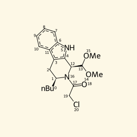 CCCC[C@H]1Cc2c([nH]c3ccccc23)[C@@H](C(OC)OC)N1C(=O)CCl